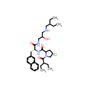 CCC(CC)CNCC(O)CNC(=O)[C@@H](Cc1ccc2ccccc2c1)NC(=O)C1CCCN1C(=O)C(CC)CC.Cl